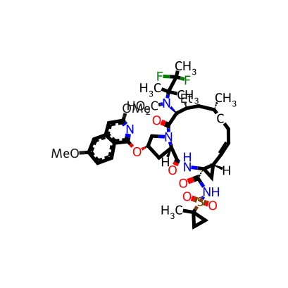 CC[C@@H]1C[C@H](C)CC/C=C\[C@@H]2C[C@@]2(C(=O)NS(=O)(=O)C2(C)CC2)NC(=O)[C@@H]2C[C@@H](Oc3nc(OC)cc4cc(OC)ccc34)CN2C(=O)[C@H]1N(C(=O)O)C(C)(C)C(C)(F)F